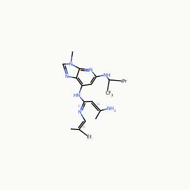 CC/C(C)=C/N=C(\C=C(/C)N)Nc1cc(NC(C(C)C)C(F)(F)F)nc2c1ncn2C